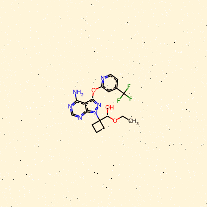 CCOC(O)C1(n2nc(Oc3cc(C(F)(F)F)ccn3)c3c(N)ncnc32)CCC1